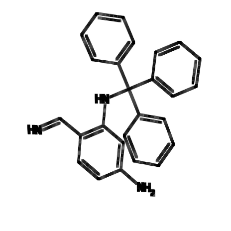 N=Cc1ccc(N)cc1NC(c1ccccc1)(c1ccccc1)c1ccccc1